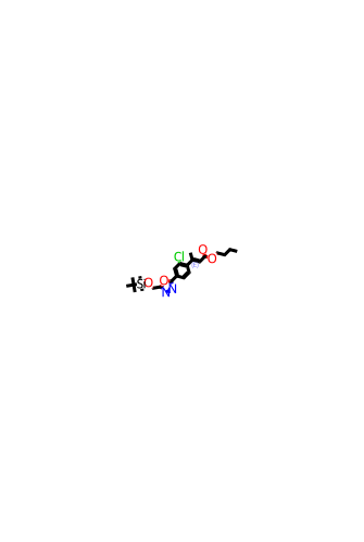 CCCCOC(=O)/C=C(\C)c1ccc(-c2nnc(CO[Si](C)(C)C(C)(C)C)o2)cc1Cl